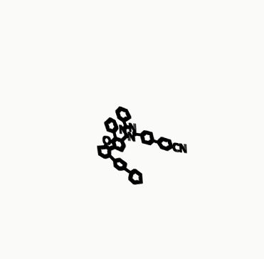 N#Cc1ccc(-c2ccc(-c3nc(-c4ccccc4)nc(-c4ccc5c(oc6cccc(-c7ccc(-c8ccccc8)cc7)c65)c4-c4ccccc4)n3)cc2)cc1